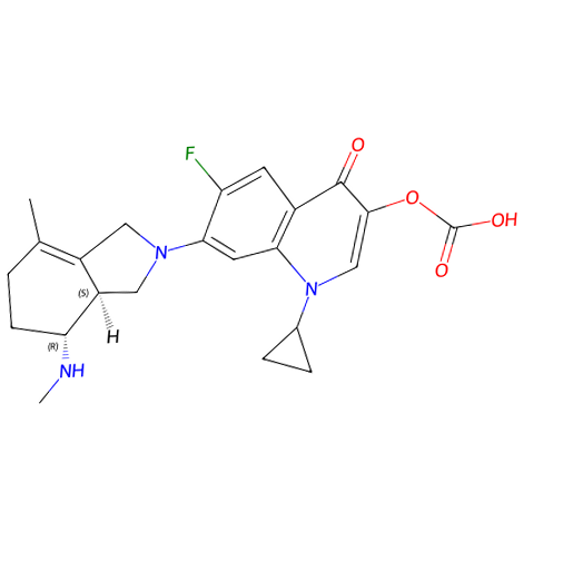 CN[C@@H]1CCC(C)=C2CN(c3cc4c(cc3F)c(=O)c(OC(=O)O)cn4C3CC3)C[C@H]21